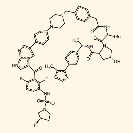 Cc1ncsc1-c1ccc(C(C)NC(=O)[C@@H]2C[C@@H](O)CN2C(=O)C(NC(=O)Cc2ccc(CN3CCN(c4ccc(-c5cnc6[nH]cc(C(=O)c7c(F)ccc(NS(=O)(=O)N8CC[C@@H](F)C8)c7F)c6c5)cc4)CC3)cc2)C(C)(C)C)cc1